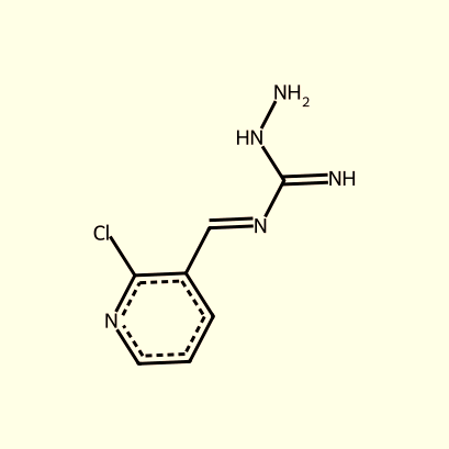 N=C(N=Cc1cccnc1Cl)NN